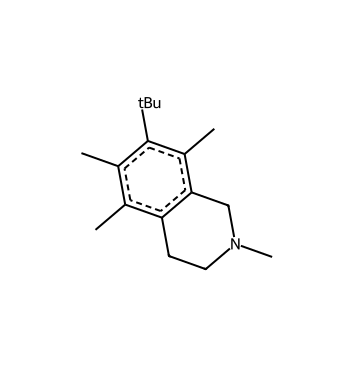 Cc1c(C)c(C(C)(C)C)c(C)c2c1CCN(C)C2